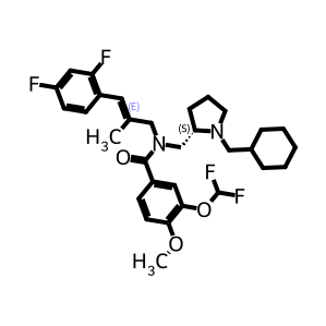 COc1ccc(C(=O)N(C/C(C)=C/c2ccc(F)cc2F)C[C@@H]2CCCN2CC2CCCCC2)cc1OC(F)F